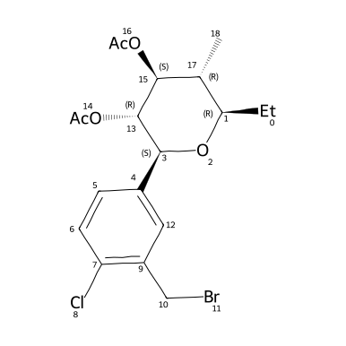 CC[C@H]1O[C@@H](c2ccc(Cl)c(CBr)c2)[C@H](OC(C)=O)[C@@H](OC(C)=O)[C@@H]1C